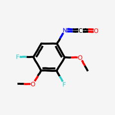 COc1c(F)cc(N=C=O)c(OC)c1F